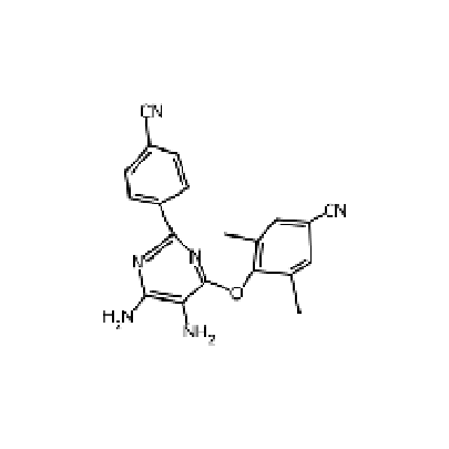 Cc1cc(C#N)cc(C)c1Oc1nc(-c2ccc(C#N)cc2)nc(N)c1N